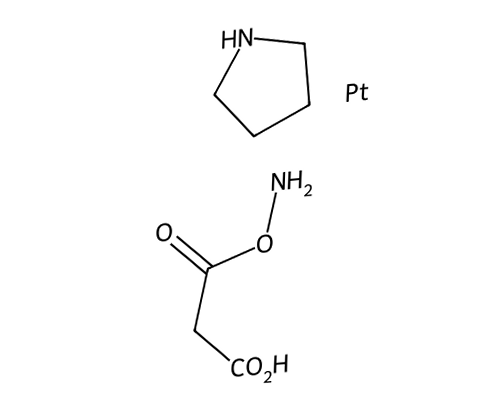 C1CCNC1.NOC(=O)CC(=O)O.[Pt]